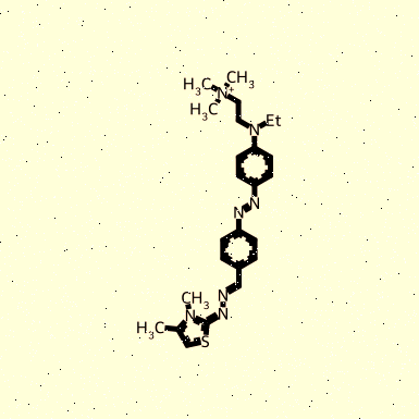 CCN(CC[N+](C)(C)C)c1ccc(N=Nc2ccc(C=NN=c3scc(C)n3C)cc2)cc1